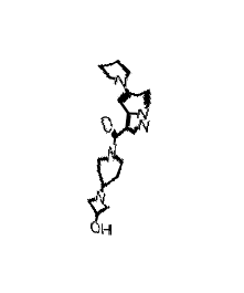 O=C(c1cnn2ccc(N3CCCC3)cc12)N1CCC(N2CC(O)C2)CC1